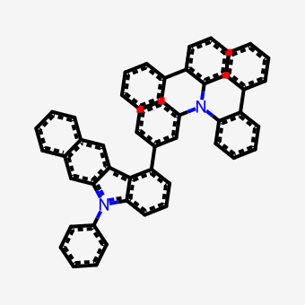 c1ccc(-c2ccccc2N(c2cccc(-c3cccc4c3c3cc5ccccc5cc3n4-c3ccccc3)c2)c2ccccc2-c2ccccc2)cc1